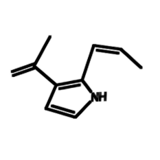 C=C(C)c1cc[nH]c1/C=C\C